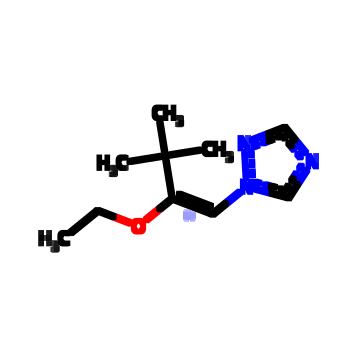 CCO/C(=C/n1cncn1)C(C)(C)C